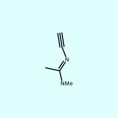 C#C/N=C(\C)NC